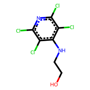 OCCNc1c(Cl)c(Cl)nc(Cl)c1Cl